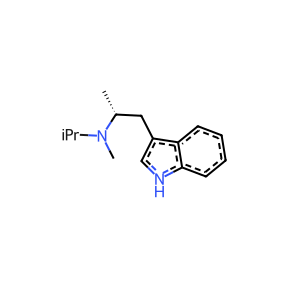 CC(C)N(C)[C@H](C)Cc1c[nH]c2ccccc12